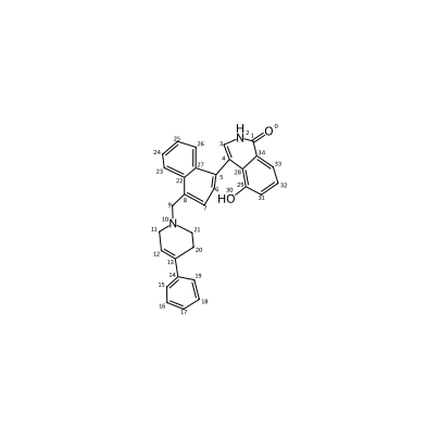 O=c1[nH]cc(-c2ccc(CN3CC=C(c4ccccc4)CC3)c3ccccc23)c2c(O)cccc12